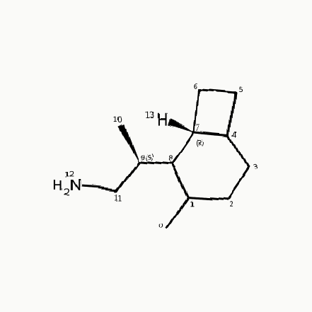 CC1CCC2CC[C@H]2C1[C@H](C)CN